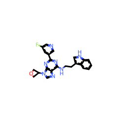 Fc1cncc(-c2nc(NCCc3c[nH]c4ccccc34)c3ncn(C4COC4)c3n2)c1